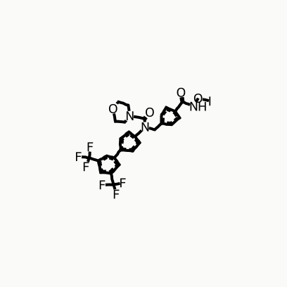 O=C(NOI)c1ccc(CN(C(=O)N2CCOCC2)c2ccc(-c3cc(C(F)(F)F)cc(C(F)(F)F)c3)cc2)cc1